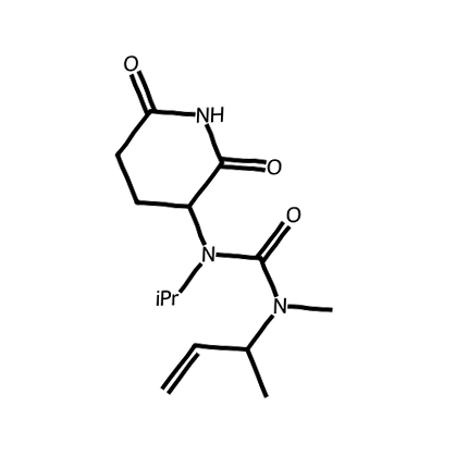 C=CC(C)N(C)C(=O)N(C(C)C)C1CCC(=O)NC1=O